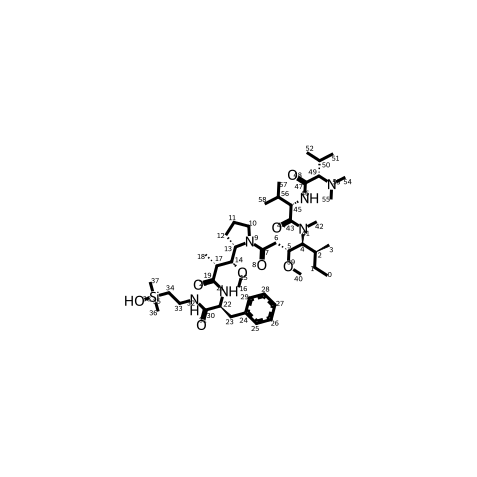 CC[C@H](C)[C@@H]([C@@H](CC(=O)N1CCC[C@H]1[C@H](OC)[C@@H](C)C(=O)N[C@@H](Cc1ccccc1)C(=O)NCC[Si](C)(C)O)OC)N(C)C(=O)[C@@H](NC(=O)[C@H](C(C)C)N(C)C)C(C)C